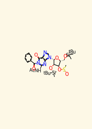 CC(=O)Nc1nc2c(ncn2[C@@H]2O[C@H](CO[Si](C)(C)C(C)(C)C)[C@@H](OS(C)=O)[C@H]2O[Si](C)(C)C(C)(C)C)c(=O)n1C(=O)c1ccccc1